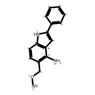 CCCOCc1ccc2[nH]c(-c3ccccc3)cc2c1N